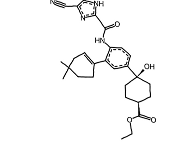 CCOC(=O)[C@H]1CC[C@](O)(c2ccc(NC(=O)c3nc(C#N)c[nH]3)c(C3=CCC(C)(C)CC3)c2)CC1